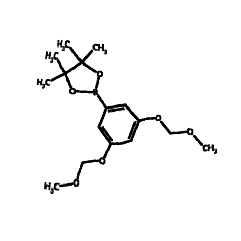 COCOc1cc(OCOC)cc(B2OC(C)(C)C(C)(C)O2)c1